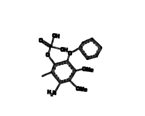 COc1c(N)c(C)c(OP(=O)(O)O)c(Oc2ccccc2)c1OC